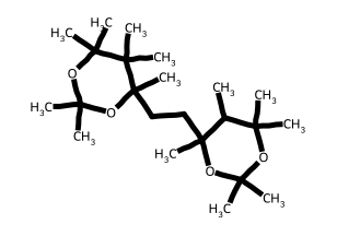 CC1C(C)(C)OC(C)(C)OC1(C)CCC1(C)OC(C)(C)OC(C)(C)C1(C)C